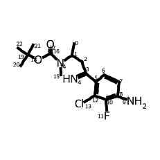 CC(CC(=N)c1ccc(N)c(F)c1Cl)N(C)C(=O)OC(C)(C)C